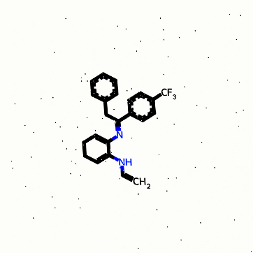 C=CNC1=CCCC=C1/N=C(\Cc1ccccc1)c1ccc(C(F)(F)F)cc1